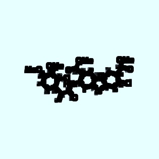 C=C(C(=O)Nc1cc2sc3cc(Cl)c(C(=O)OC)cc3c2cc1C(=O)OC)c1ccc(OC)c(OC)c1Cl